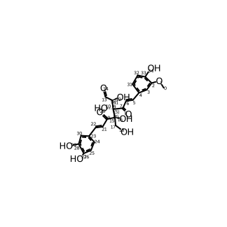 COc1cc(C=CC(=O)[C@](O)([C@H](O)C=O)[C@](O)(CO)C(=O)C=Cc2ccc(O)c(O)c2)ccc1O